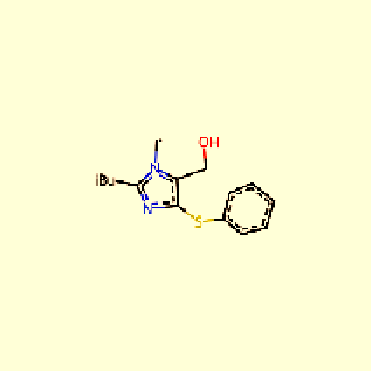 [CH2]n1c(C(C)CC)nc(Sc2ccccc2)c1CO